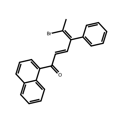 CC(Br)=C(C=CC(=O)c1cccc2ccccc12)c1ccccc1